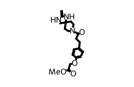 C=C1NCC2(CCN(C(=O)CCc3ccc(OCC(=O)OC)cc3)CC2)N1